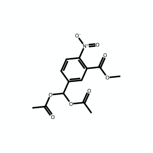 COC(=O)c1cc(C(OC(C)=O)OC(C)=O)ccc1[N+](=O)[O-]